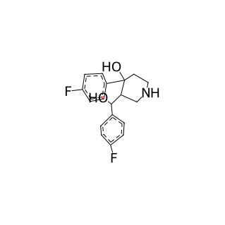 OC(c1ccc(F)cc1)C1CNCCC1(O)c1ccc(F)cc1